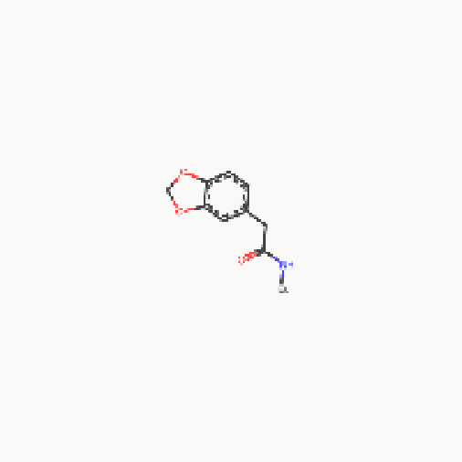 CCNC(=O)Cc1ccc2c(c1)OCO2